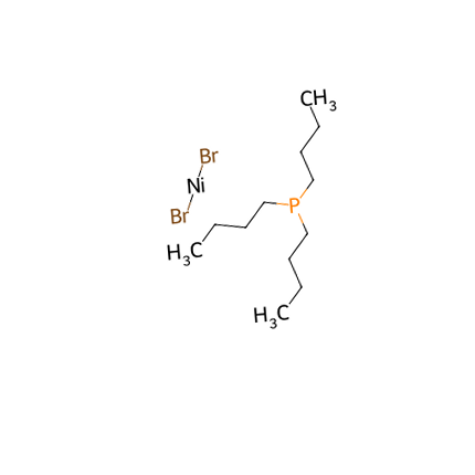 CCCCP(CCCC)CCCC.[Br][Ni][Br]